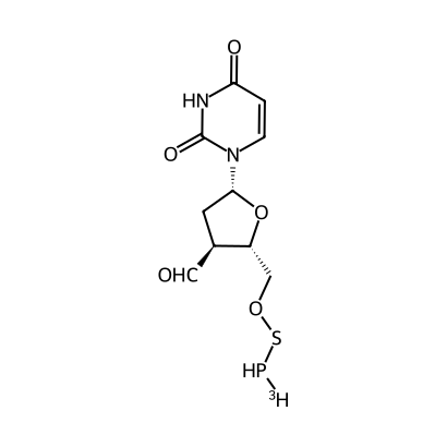 [3H]PSOC[C@H]1O[C@@H](n2ccc(=O)[nH]c2=O)C[C@@H]1C=O